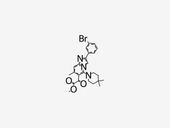 COC(=O)C(=O)c1c(C)cc2nc(-c3cccc(Br)c3)cn2c1N1CCC(C)(C)CC1